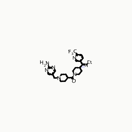 CC/N=C(\c1ccc(C(F)(F)F)nc1)C1CCN(C(=O)C2CCN(Cc3cnc(N)nc3)CC2)CC1